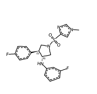 Cn1cnc(S(=O)(=O)N2C[C@H](Nc3cccc(F)c3)[C@@H](c3ccc(F)cc3)C2)c1